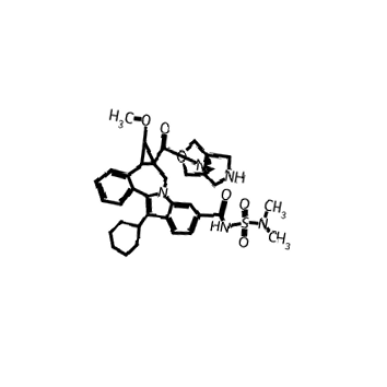 COC1C2c3ccccc3-c3c(C4CCCCC4)c4ccc(C(=O)NS(=O)(=O)N(C)C)cc4n3CC12C(=O)N1CC23CNCC2(COC3)C1